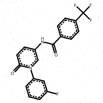 O=C(Nc1ccc(=O)n(-c2cccc(F)c2)c1)c1ccc(C(F)(F)F)cc1